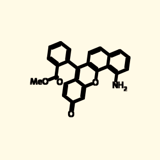 COC(=O)c1ccccc1-c1c2ccc(=O)cc-2oc2c1ccc1cccc(N)c12